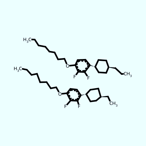 CCCCCCCCOc1ccc([C@H]2CC[C@H](CC)CC2)c(F)c1F.CCCCCCCCOc1ccc([C@H]2CC[C@H](CCC)CC2)c(F)c1F